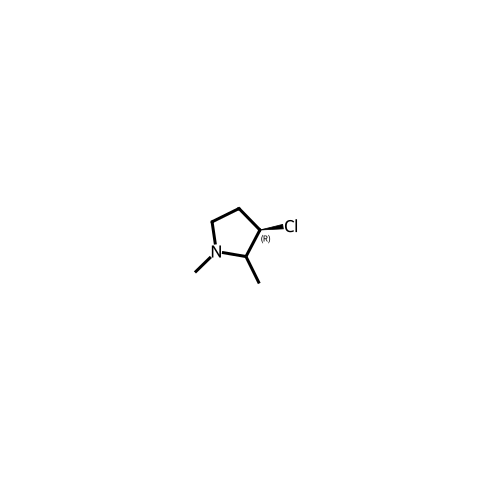 CC1[C@H](Cl)CCN1C